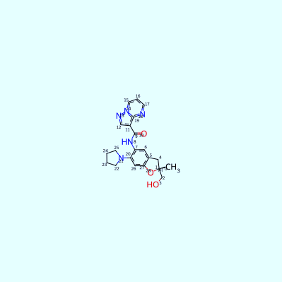 C[C@]1(CO)Cc2cc(NC(=O)c3cnn4cccnc34)c(N3CCCC3)cc2O1